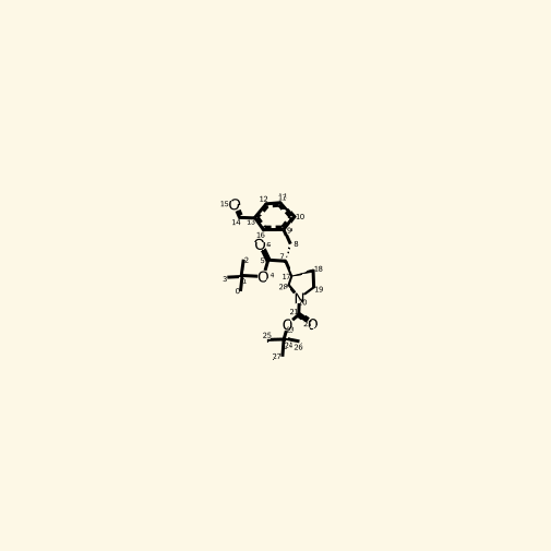 CC(C)(C)OC(=O)[C@H](Cc1cccc(C=O)c1)[C@H]1CCN(C(=O)OC(C)(C)C)C1